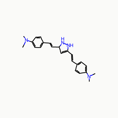 CN(C)c1ccc(C=CC2=CC(C=Cc3ccc(N(C)C)cc3)NN2)cc1